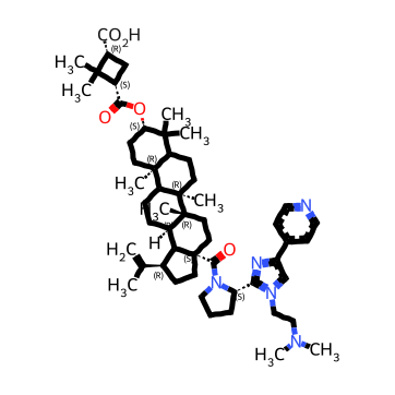 C=C(C)[C@@H]1CC[C@]2(C(=O)N3CCC[C@H]3c3nc(-c4ccncc4)cn3CCN(C)C)CC[C@]3(C)[C@H](CCC4[C@@]5(C)CC[C@H](OC(=O)[C@H]6C[C@@H](C(=O)O)C6(C)C)C(C)(C)C5CC[C@]43C)C12